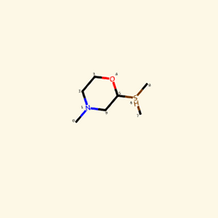 CN1CCOC([SH](C)C)C1